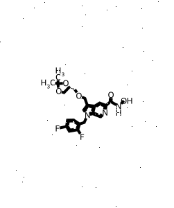 CC1(C)OC[C@@H](COCc2cn(Cc3ccc(F)cc3F)c3cnc(C(=O)NO)cc23)O1